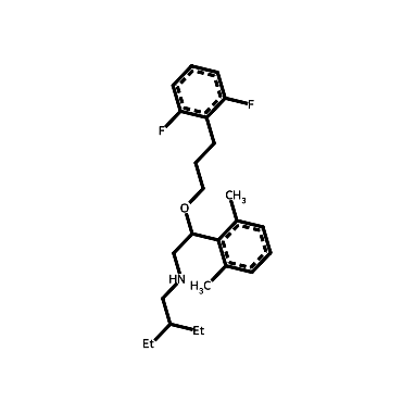 CCC(CC)CNCC(OCCCc1c(F)cccc1F)c1c(C)cccc1C